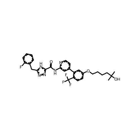 CC(C)(O)CCCCOc1ccc(C(F)(F)F)c(-c2ccnc(NC(=O)c3nnc(Cc4ccccc4F)[nH]3)c2)c1